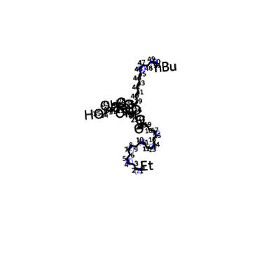 CC/C=C\C/C=C\C/C=C\C/C=C\C/C=C\C/C=C\CCC(=O)OC[C@H](COP(=O)(O)OC[C@@H](O)CO)OC(=O)CCCCCCC/C=C\C/C=C\CCCC